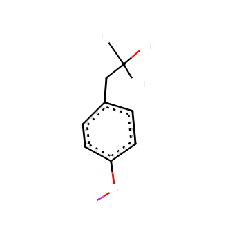 CC(C)(O)Cc1ccc(OI)cc1